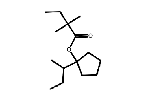 CCC(C)C1(OC(=O)C(C)(C)CC)CCCC1